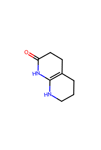 O=C1CCC2=C(NCCC2)N1